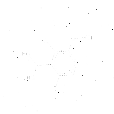 COc1ccc(F)c(B(O)O)c1Cl